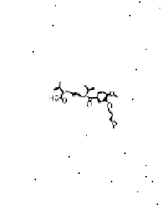 COCCCOc1cc(C(=O)C(CC=CCC(C(=O)O)C(C)C)C(C)C)ccc1OC